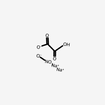 O=C([O-])C(=O)O.O=[N+]([O-])[O-].[Na+].[Na+]